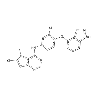 Cn1c(Cl)cc2ncnc(Nc3ccc(Oc4cccc5[nH]ncc45)c(Cl)c3)c21